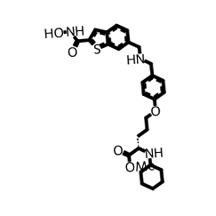 COC(=O)[C@H](CCCOc1ccc(CNCc2ccc3cc(C(=O)NO)sc3c2)cc1)NC1CCCCC1